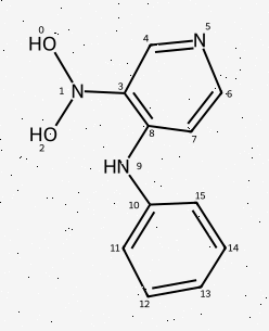 ON(O)c1cnccc1Nc1ccccc1